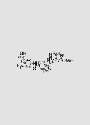 COc1cc(-c2cc(C(=O)N3CC[C@H](C(=O)N[C@H]4CC[C@@](OCCO)(C(F)(F)F)CC4)CC34CC4)n[nH]2)c(F)cn1